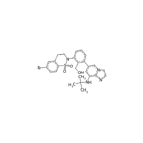 CC(C)(C)Nc1cc(-c2cccc(N3CCc4cc(Br)ccc4S3(=O)=O)c2CO)cn2ccnc12